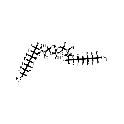 CCN(C(F)(OP(=O)(O)OC(F)(N(CC)S(=O)(=O)C(F)(F)C(F)(F)C(F)(F)C(F)(F)C(F)(F)C(F)(F)C(F)(F)C(F)(F)F)C(F)(F)F)C(F)(F)F)S(=O)(=O)C(F)(F)C(F)(F)C(F)(F)C(F)(F)C(F)(F)C(F)(F)C(F)(F)C(F)(F)F